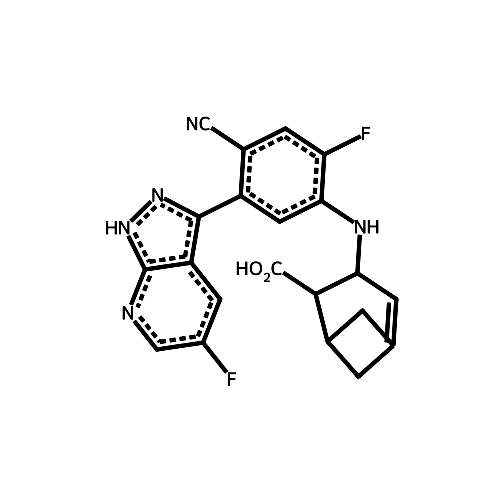 N#Cc1cc(F)c(NC2C=C3CC(C3)C2C(=O)O)cc1-c1n[nH]c2ncc(F)cc12